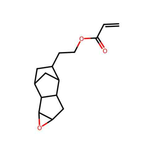 C=CC(=O)OCCC1CC2CC1C1CC3OC3C21